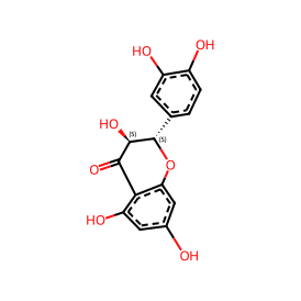 O=C1c2c(O)cc(O)cc2O[C@@H](c2ccc(O)c(O)c2)[C@@H]1O